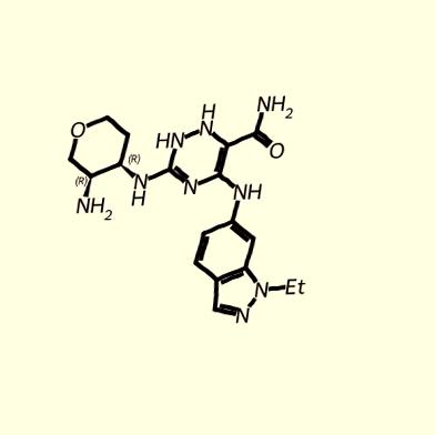 CCn1ncc2ccc(NC3=C(C(N)=O)NNC(N[C@@H]4CCOC[C@@H]4N)=N3)cc21